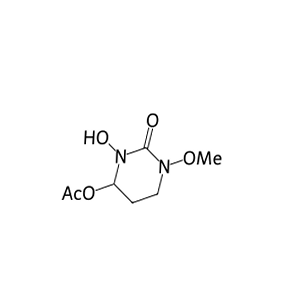 CON1CCC(OC(C)=O)N(O)C1=O